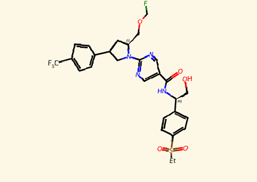 CCS(=O)(=O)c1ccc([C@H](CO)NC(=O)c2cnc(N3CC(c4ccc(C(F)(F)F)cc4)C[C@H]3COCF)nc2)cc1